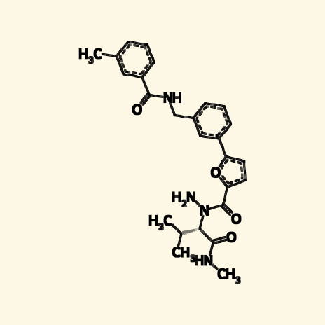 CNC(=O)[C@H](C(C)C)N(N)C(=O)c1ccc(-c2cccc(CNC(=O)c3cccc(C)c3)c2)o1